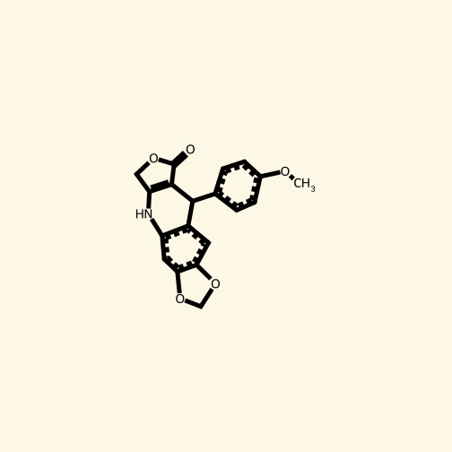 COc1ccc(C2C3=C(COC3=O)Nc3cc4c(cc32)OCO4)cc1